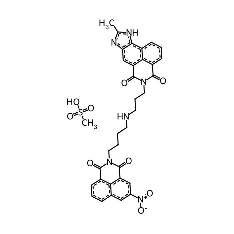 CS(=O)(=O)O.Cc1nc2cc3c4c(cccc4c2[nH]1)C(=O)N(CCCNCCCCN1C(=O)c2cccc4cc([N+](=O)[O-])cc(c24)C1=O)C3=O